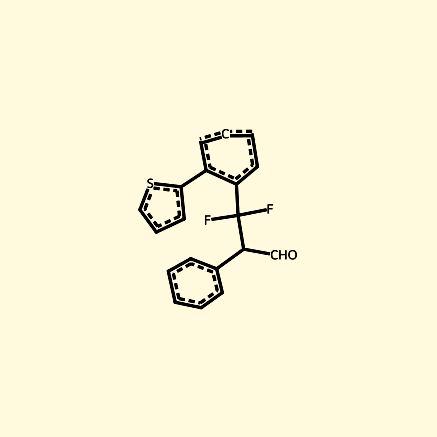 O=CC(c1ccccc1)C(F)(F)c1ccccc1-c1cccs1